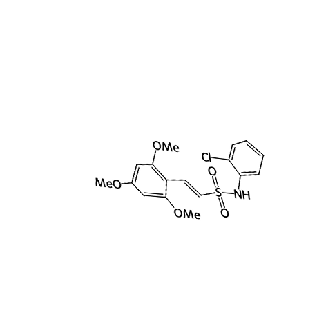 COc1cc(OC)c(C=CS(=O)(=O)Nc2ccccc2Cl)c(OC)c1